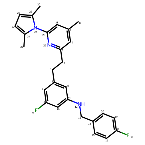 Cc1cc(CCc2cc(F)cc(NCc3ccc(F)cc3)c2)nc(-n2c(C)ccc2C)c1